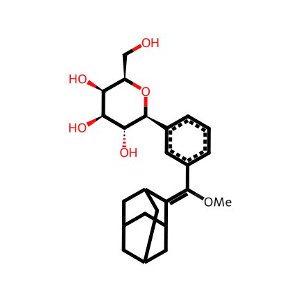 COC(=C1C2CC3CC(C2)CC1C3)c1cccc([C@@H]2O[C@H](CO)[C@H](O)[C@H](O)[C@H]2O)c1